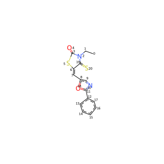 CCN1C(=O)SC(=Cc2cnc(-c3ccccc3)o2)C1=S